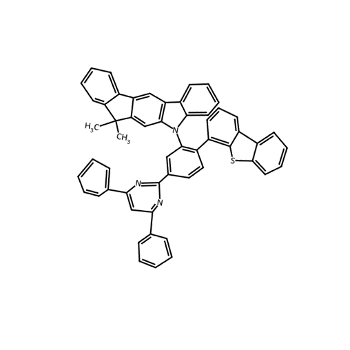 CC1(C)c2ccccc2-c2cc3c4ccccc4n(-c4cc(-c5nc(-c6ccccc6)cc(-c6ccccc6)n5)ccc4-c4cccc5c4sc4ccccc45)c3cc21